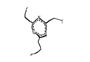 FCc1cc(CF)nc(CF)n1